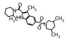 Cc1c(C(=O)N2CCCCC2C)[nH]c2ccc(S(=O)(=O)N3CC(C)CC(C)C3)cc12